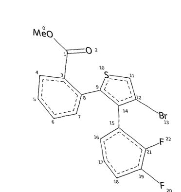 COC(=O)c1ccccc1-c1scc(Br)c1-c1cccc(F)c1F